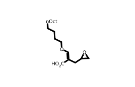 CCCCCCCCCCCCOC=C(CC1CO1)C(=O)O